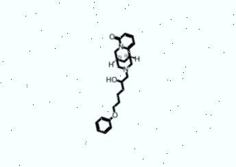 O=c1cccc2n1C[C@H]1C[C@H]2CN(CC(O)CCCCOc2ccccc2)C1